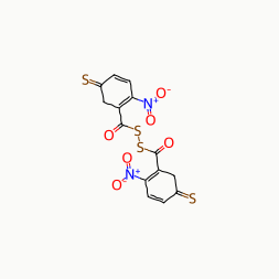 O=C(SSC(=O)C1=C([N+](=O)[O-])C=CC(=S)C1)C1=C([N+](=O)[O-])C=CC(=S)C1